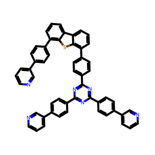 c1cncc(-c2ccc(-c3nc(-c4ccc(-c5cccnc5)cc4)nc(-c4ccc(-c5cccc6c5sc5c(-c7ccc(-c8cccnc8)cc7)cccc56)cc4)n3)cc2)c1